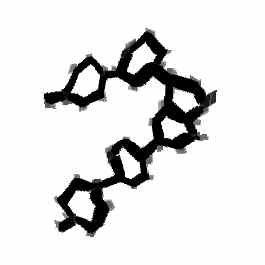 CN1CCN(c2ccc(-c3cnc4[nH]cc(-c5ccnc(N6CCN(C)CC6)c5)c4c3)cn2)CC1